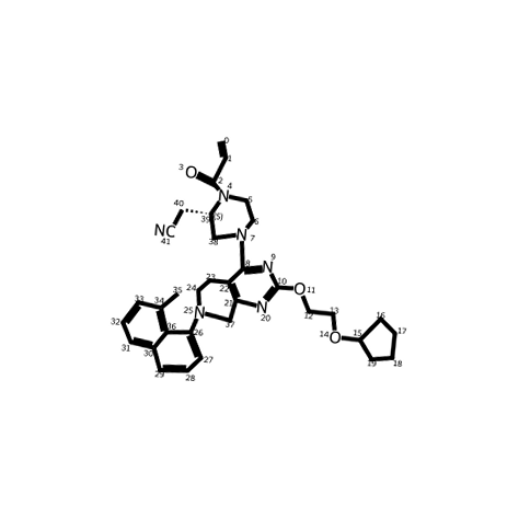 C=CC(=O)N1CCN(c2nc(OCCOC3CCCC3)nc3c2CCN(c2cccc4cccc(C)c24)C3)C[C@@H]1CC#N